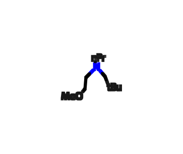 CCCN(CCOC)CC(C)(C)C